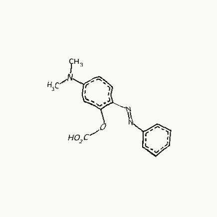 CN(C)c1ccc(N=Nc2ccccc2)c(OC(=O)O)c1